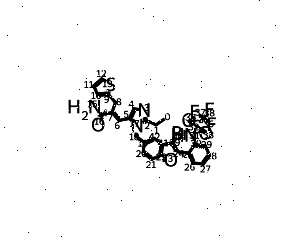 CCc1ncc(/C=C(\Cc2cccs2)C(N)=O)n1Cc1ccc2oc(-c3ccccc3NS(=O)(=O)C(F)(F)F)c(Br)c2c1